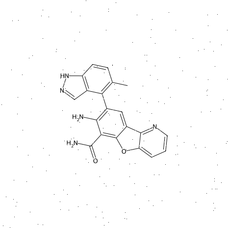 Cc1ccc2[nH]ncc2c1-c1cc2c(oc3cccnc32)c(C(N)=O)c1N